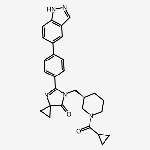 O=C(C1CC1)N1CCC[C@H](CN2C(=O)C3(CC3)N=C2c2ccc(-c3ccc4[nH]ncc4c3)cc2)C1